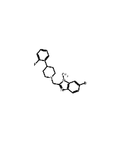 Cn1c(CN2CCC(c3ccccc3F)CC2)nc2ccc(Br)cc21